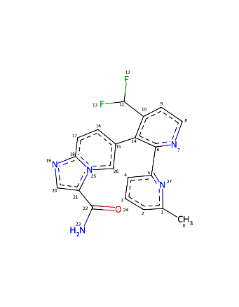 Cc1cccc(-c2nccc(C(F)F)c2-c2ccc3ncc(C(N)=O)n3c2)n1